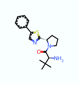 CC(C)(C)[C@H](N)C(=O)N1CCC[C@H]1c1ncc(-c2ccccc2)s1